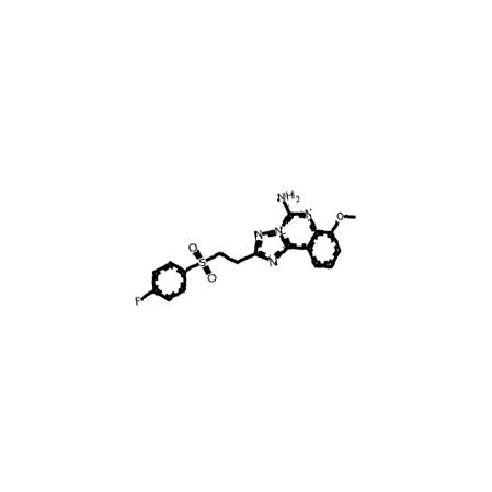 COc1cccc2c1nc(N)n1nc(CCS(=O)(=O)c3ccc(F)cc3)nc21